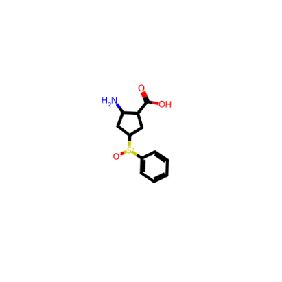 NC1CC([S+]([O-])c2ccccc2)CC1C(=O)O